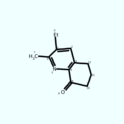 CCc1cc2c(nc1C)C(=O)CCC2